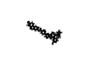 CN(Cc1ccc(C2CCC(=O)NC2=O)c(F)c1)C1CCN(c2ccc3c(c2)C(=O)N(C(C(=O)Nc2nccs2)c2cc(F)ccc2O)C3)CC1